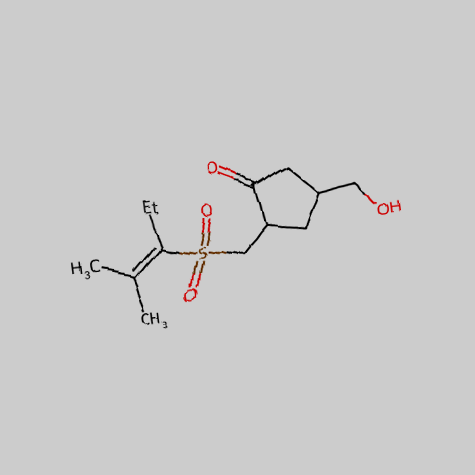 CCC(=C(C)C)S(=O)(=O)CC1CC(CO)CC1=O